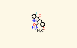 COc1ccc(CC2C(=O)c3c(F)cccc3NC2CC(N)=O)cc1